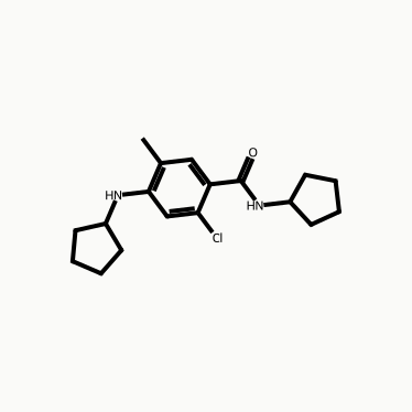 Cc1cc(C(=O)NC2CCCC2)c(Cl)cc1NC1CCCC1